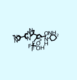 Cc1sc(C(=O)N[C@@H]2CCCC[C@@H]2N)cc1-c1cnn2cc(-c3cnn(C)c3)cnc12.O=C(O)C(F)(F)F